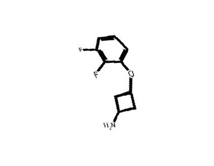 NC1CC(Oc2cccc(F)c2F)C1